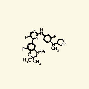 CC(C)N1CC(C)(C)Oc2c(F)cc(-c3nc(Nc4ccc(N(C)C5CCOC5)c(F)c4)ncc3F)cc21